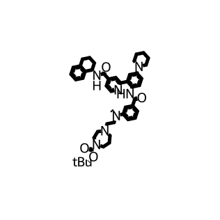 CN(CCN1CCCN(C(=O)OC(C)(C)C)CC1)c1cccc(C(=O)Nc2ccc(N3CCCCC3)cc2-c2cc(C(=O)NC3CCCc4ccccc43)ccn2)c1